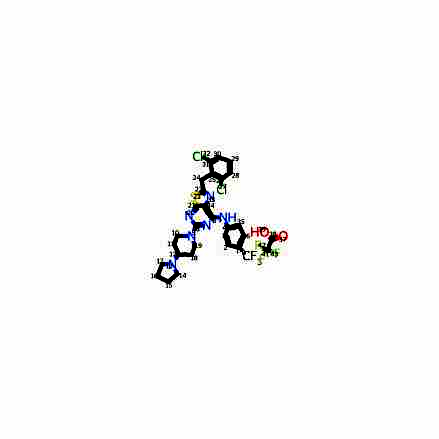 FC(F)(F)c1ccc(Nc2nc(N3CCC(N4CCCC4)CC3)nc3sc(Cc4c(Cl)cccc4Cl)nc23)cc1.O=C(O)C(F)(F)F